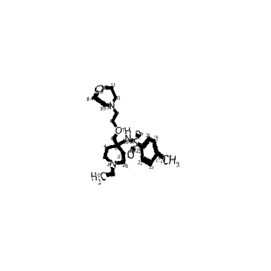 CCN1CCC(COCCN2CCOCC2)(NS(=O)(=O)c2ccc(C)cc2)CC1